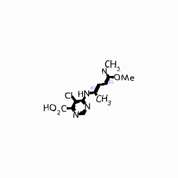 C=N/C(=C\C=C(/C)Nc1ncnc(C(=O)O)c1Cl)OC